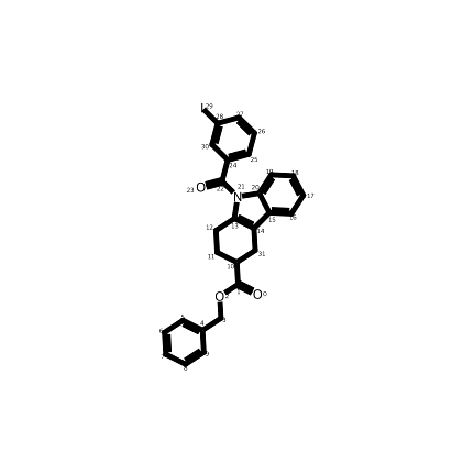 O=C(OCc1ccccc1)C1CCc2c(c3ccccc3n2C(=O)c2cccc(I)c2)C1